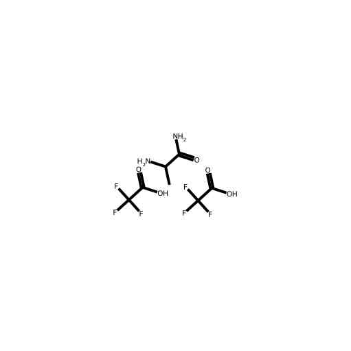 CC(N)C(N)=O.O=C(O)C(F)(F)F.O=C(O)C(F)(F)F